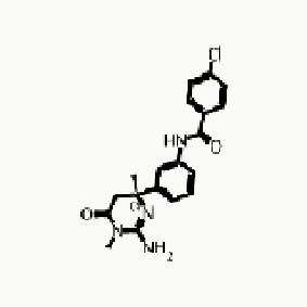 CN1C(=O)C[C@](C)(c2cccc(NC(=O)c3ccc(Cl)cc3)c2)N=C1N